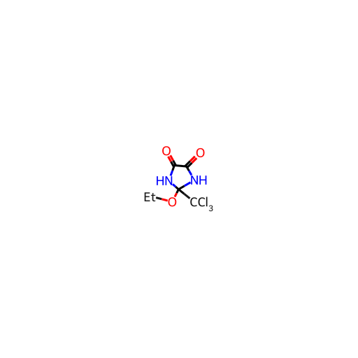 CCOC1(C(Cl)(Cl)Cl)NC(=O)C(=O)N1